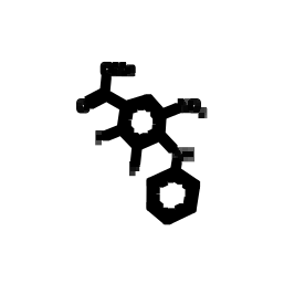 COC(=O)c1cc([N+](=O)[O-])c(Nc2ccccc2)c(F)c1F